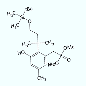 COP(=O)(Cc1cc(C)cc(O)c1C(C)(C)CCO[Si](C)(C)C(C)(C)C)OC